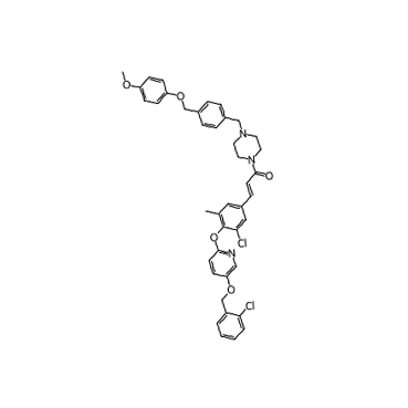 COc1ccc(OCc2ccc(CN3CCN(C(=O)C=Cc4cc(C)c(Oc5ccc(OCc6ccccc6Cl)cn5)c(Cl)c4)CC3)cc2)cc1